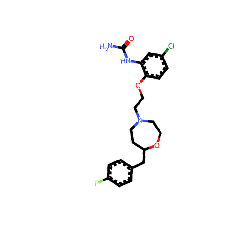 NC(=O)Nc1cc(Cl)ccc1OCCN1CCOC(Cc2ccc(F)cc2)CC1